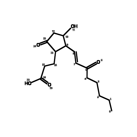 CCCCCC(=O)/C=C/C1C(O)CC(=O)C1CCC(=O)O